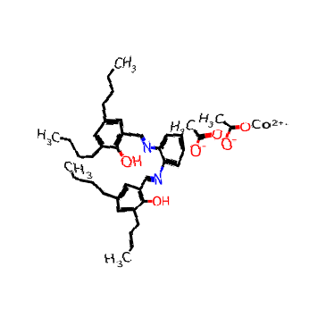 CC(=O)[O-].CC(=O)[O-].CCCCc1cc(C=Nc2ccccc2N=Cc2cc(CCCC)cc(CCCC)c2O)c(O)c(CCCC)c1.[Co+2]